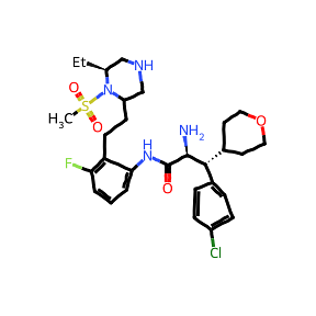 CC[C@H]1CNCC(CCc2c(F)cccc2NC(=O)[C@@H](N)[C@@H](c2ccc(Cl)cc2)C2CCOCC2)N1S(C)(=O)=O